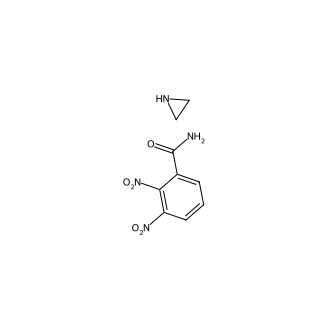 C1CN1.NC(=O)c1cccc([N+](=O)[O-])c1[N+](=O)[O-]